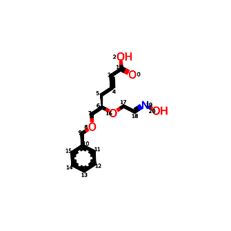 O=C(O)C=CC[C@H](COCc1ccccc1)OCC=NO